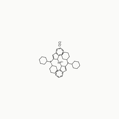 C1=C(P(C2CCCCC2)C2CCCCC2)[CH]([Hf+2][CH]2C(P(C3CCCCC3)C3CCCCC3)=Cc3ccccc32)c2ccccc21.[Cl-].[Cl-]